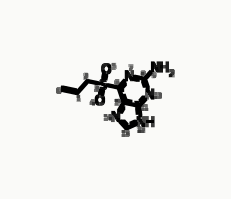 C=CCS(=O)(=O)c1nc(N)nc2[nH]cnc12